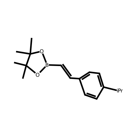 CC(C)c1ccc(C=CB2OC(C)(C)C(C)(C)O2)cc1